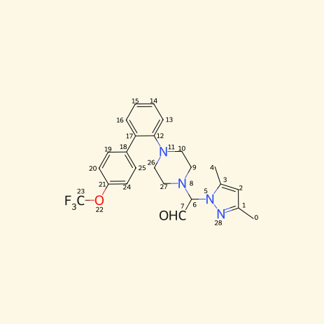 Cc1cc(C)n(C(C=O)N2CCN(c3ccccc3-c3ccc(OC(F)(F)F)cc3)CC2)n1